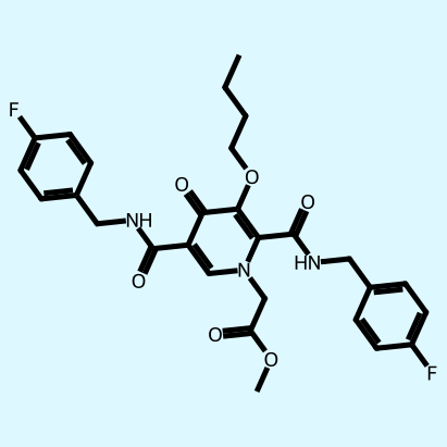 CCCCOc1c(C(=O)NCc2ccc(F)cc2)n(CC(=O)OC)cc(C(=O)NCc2ccc(F)cc2)c1=O